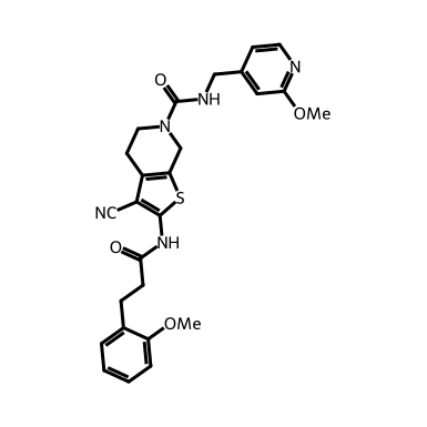 COc1cc(CNC(=O)N2CCc3c(sc(NC(=O)CCc4ccccc4OC)c3C#N)C2)ccn1